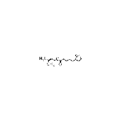 CC(C)=CCOC(=O)CCCCC1CCSS1